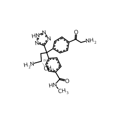 CNC(=O)c1ccc(C(C[C@H](C)N)(c2ccc(C(=O)CN)cc2)c2nn[nH]n2)cc1